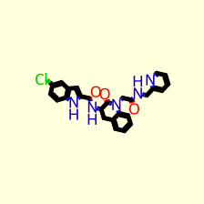 O=C(CN1C(=O)C(NC(=O)c2cc3cc(Cl)ccc3[nH]2)Cc2ccccc21)NCc1ccccn1